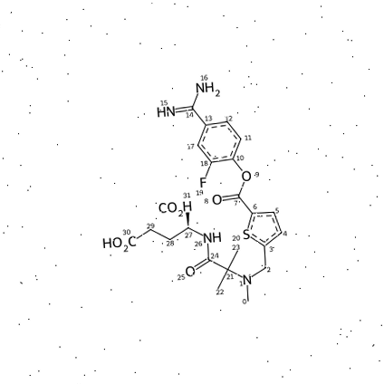 CN(Cc1ccc(C(=O)Oc2ccc(C(=N)N)cc2F)s1)C(C)(C)C(=O)N[C@@H](CCC(=O)O)C(=O)O